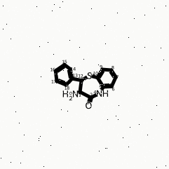 NC1C(=O)Nc2ccccc2SC1c1ccccc1